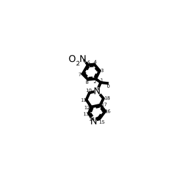 CC(c1ccc([N+](=O)[O-])cc1)N1CCc2cnccc2C1